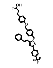 O=C(O)CCc1ccc(OCc2ccc(Cn3nc(-c4ccc(C(F)(F)F)cc4)cc3/C=C/c3ccccc3)cc2)cc1